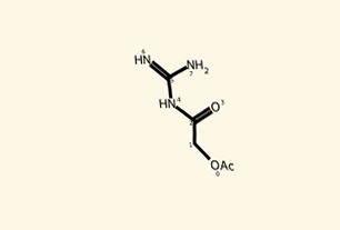 CC(=O)OCC(=O)NC(=N)N